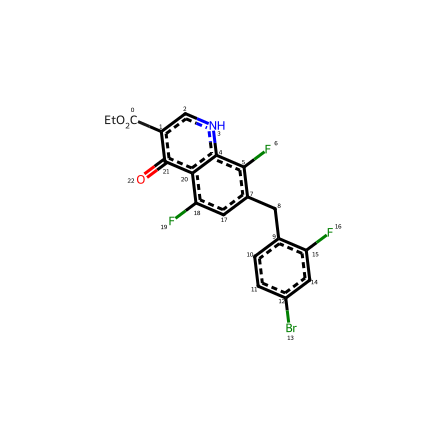 CCOC(=O)c1c[nH]c2c(F)c(Cc3ccc(Br)cc3F)cc(F)c2c1=O